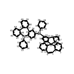 C1=Cc2ccccc2C2(c3ccccc31)c1ccccc1-c1cc(N(c3ccccc3)c3ccc4c(c3)-c3ccccc3-c3ccccc3N4c3ccccc3)ccc12